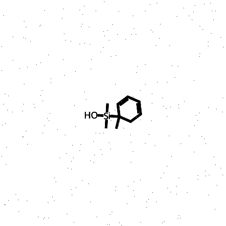 CC1([Si](C)(C)O)C=CC=CC1